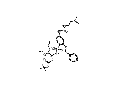 CCOC(OCC)[C@H](CC(=O)OC(C)(C)C)NS(=O)(=O)c1ccc(NC(=O)NCCN(C)C)cc1OCc1ccccc1